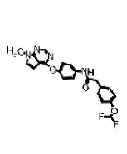 Cn1ccc2c(Oc3ccc(NC(=O)Cc4ccc(OC(F)F)cc4)cc3)ncnc21